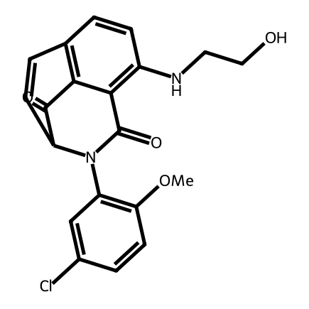 COc1ccc(Cl)cc1N1C(=O)c2c(NCCO)ccc3c2C(=O)C1C=C3